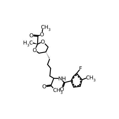 COC(=O)[C@]1(C)OC[C@H](CCCCC(NC(=O)c2ccc(C)c(F)c2)C(C)=O)CO1